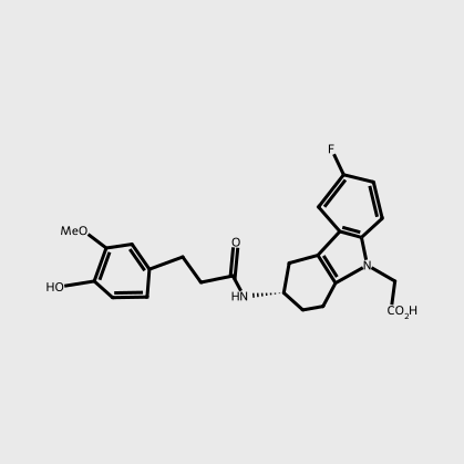 COc1cc(CCC(=O)N[C@H]2CCc3c(c4cc(F)ccc4n3CC(=O)O)C2)ccc1O